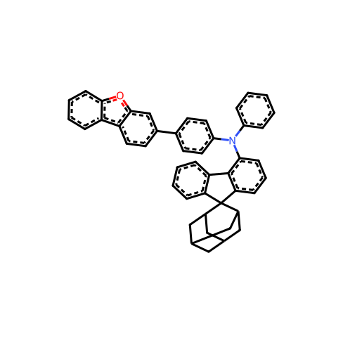 c1ccc(N(c2ccc(-c3ccc4c(c3)oc3ccccc34)cc2)c2cccc3c2-c2ccccc2C32C3CC4CC(C3)CC2C4)cc1